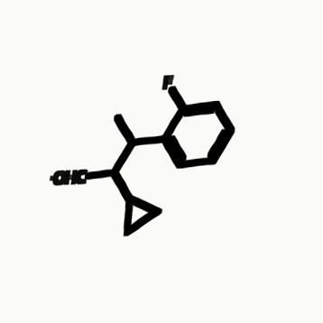 CC(c1ccccc1F)C([C]=O)C1CC1